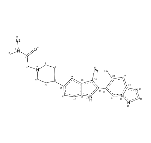 CCN(C)C(=O)CN1CCC(c2ccc3[nH]c(-c4cn5ncnc5cc4C)c(C(C)C)c3c2)CC1